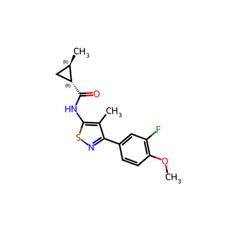 COc1ccc(-c2nsc(NC(=O)[C@@H]3C[C@H]3C)c2C)cc1F